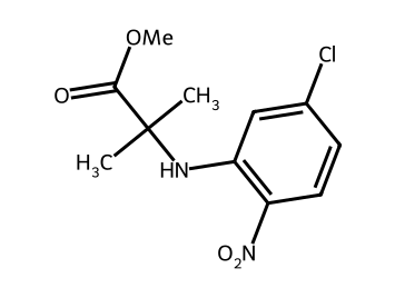 COC(=O)C(C)(C)Nc1cc(Cl)ccc1[N+](=O)[O-]